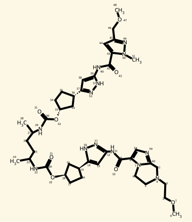 COCCN1CCn2c(C(=O)Nc3cc([C@H]4CC[C@@H](OC(=O)NC(C)CCC(C)NC(=O)O[C@@H]5CC[C@H](c6cc(NC(=O)c7cc(COC)nn7C)[nH]n6)C5)C4)[nH]n3)cnc2C1